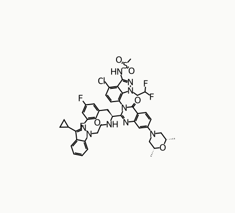 C[C@@H]1CN(c2ccc3c(=O)n(-c4ccc(Cl)c5c(NS(C)(=O)=O)nn(CC(F)F)c45)c([C@H](Cc4cc(F)cc(F)c4)NC(=O)Cn4nc(C5CC5)c5ccccc54)nc3c2)C[C@H](C)O1